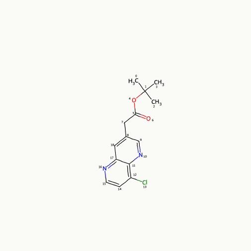 CC(C)(C)OC(=O)Cc1cnc2c(Cl)ccnc2c1